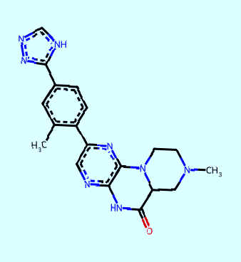 Cc1cc(-c2nnc[nH]2)ccc1-c1cnc2c(n1)N1CCN(C)CC1C(=O)N2